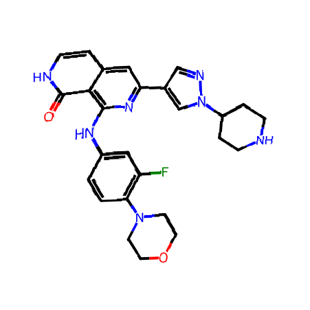 O=c1[nH]ccc2cc(-c3cnn(C4CCNCC4)c3)nc(Nc3ccc(N4CCOCC4)c(F)c3)c12